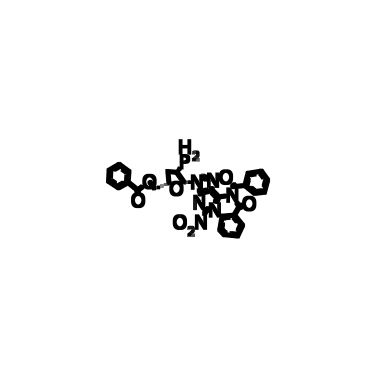 O=C(OC[C@@H]1C[C@@H](P)[C@H](n2cnc3c(N(C(=O)c4ccccc4)C(=O)c4ccccc4)nc([N+](=O)[O-])nc32)O1)c1ccccc1